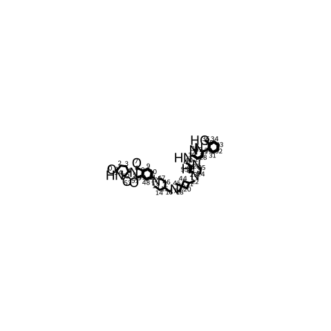 O=C1CCC(N2C(=O)c3ccc(N4CCC(CN5CC6(CC(CN7CCN8c9cc(-c%10ccccc%10O)nnc9NC[C@H]8C7)C6)C5)CC4)cc3C2=O)C(=O)N1